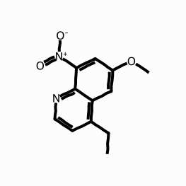 CCc1ccnc2c([N+](=O)[O-])cc(OC)cc12